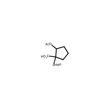 CCCCCCCC1(C(=O)O)CCCC1OC(C)=O